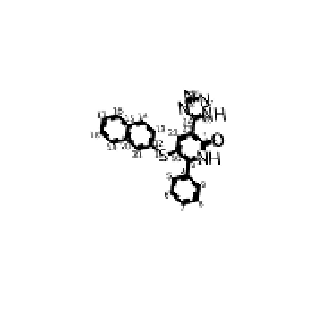 O=c1[nH]c(-c2ccccc2)c(Sc2ccc3ccccc3c2)cc1-c1nnn[nH]1